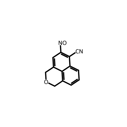 N#Cc1c(N=O)cc2c3c(cccc13)COC2